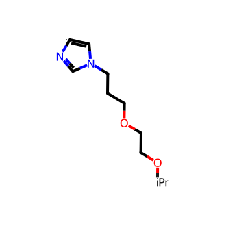 CC(C)OCCOCCCn1c[c]nc1